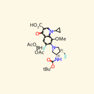 CC(=O)OBOC(C)=O.COc1c(N2C[C@H](CF)[C@H](NC(=O)OC(C)(C)C)C2)c(F)cc2c(=O)c(C(=O)O)cn(C3CC3)c12